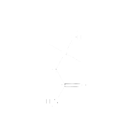 C[Si](C)(O)CC(N)=O